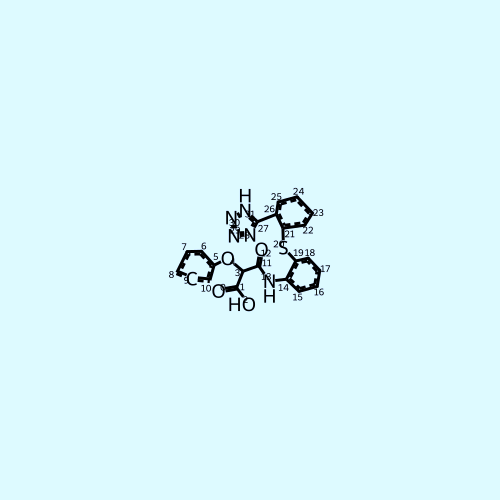 O=C(O)C(Oc1ccccc1)C(=O)Nc1ccccc1Sc1ccccc1-c1nnn[nH]1